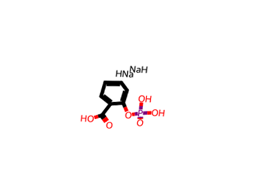 O=C(O)c1ccccc1OP(=O)(O)O.[NaH].[NaH]